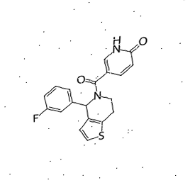 O=C(c1ccc(=O)[nH]c1)N1CCc2sccc2C1c1cccc(F)c1